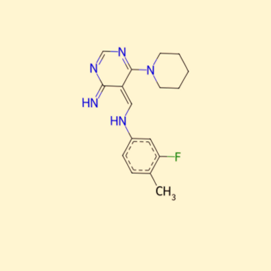 Cc1ccc(N/C=C2\C(=N)N=CN=C2N2CCCCC2)cc1F